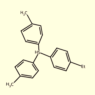 CCc1ccc([SH](c2ccc(C)cc2)c2ccc(C)cc2)cc1